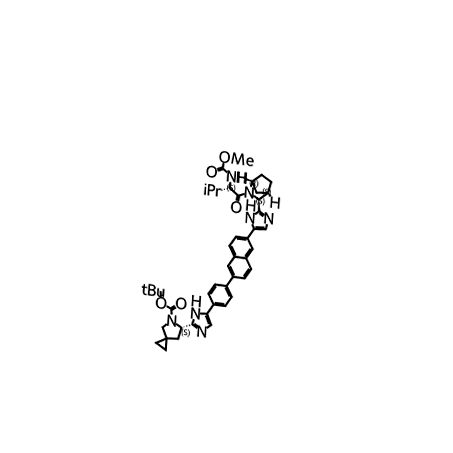 COC(=O)N[C@H](C(=O)N1[C@@H]2CC[C@@H](C2)[C@H]1c1ncc(-c2ccc3cc(-c4ccc(-c5cnc([C@@H]6CC7(CC7)CN6C(=O)OC(C)(C)C)[nH]5)cc4)ccc3c2)[nH]1)C(C)C